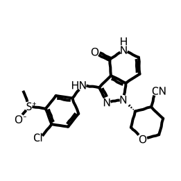 C[S+]([O-])c1cc(Nc2nn([C@H]3COCCC3C#N)c3cc[nH]c(=O)c23)ccc1Cl